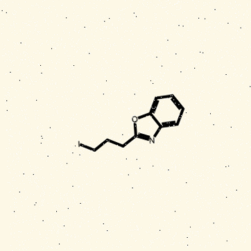 ICCCc1nc2ccccc2o1